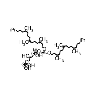 CC(C)CCC[C@H](C)CCC[C@@H](C)CCC[C@H](C)CCOC[C@H](COP(=O)(O)OC[C@@H](O)COP(=O)(O)O)OCC[C@@H](C)CCC[C@H](C)CCC[C@@H](C)CCCC(C)C